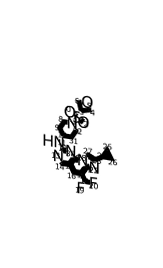 O=S(=O)(C1COC1)N1CCC(Nc2ncc3cc(C(F)F)c4nc(C5CC5)cn4c3n2)CC1